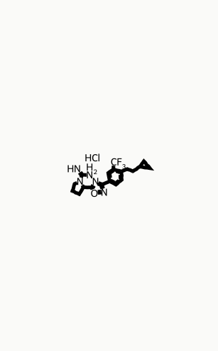 Cl.N=C(N)N1CCCC1c1nc(-c2ccc(CCC3CC3)c(C(F)(F)F)c2)no1